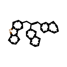 C(=C(\Cc1ccc2sc3ccccc3c2c1)c1ccc2ccccc2c1)/c1ccc2ccccc2c1